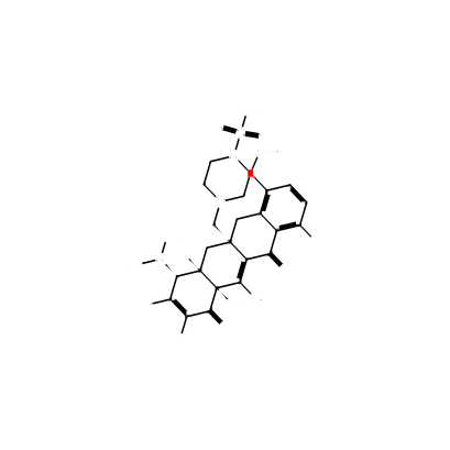 CNCc1ccc(O)c2c1C[C@@]1(CN3CCN(S(C)(=O)=O)CC3)C[C@H]3[C@H](N(C)C)C(O)=C(C(C)=O)C(=O)[C@@]3(O)C(O)=C1C2=O